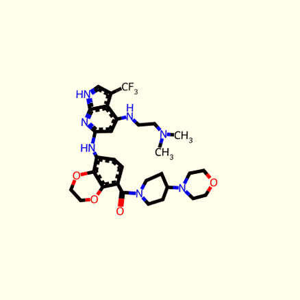 CN(C)CCNc1cc(Nc2ccc(C(=O)N3CCC(N4CCOCC4)CC3)c3c2OCCO3)nc2[nH]cc(C(F)(F)F)c12